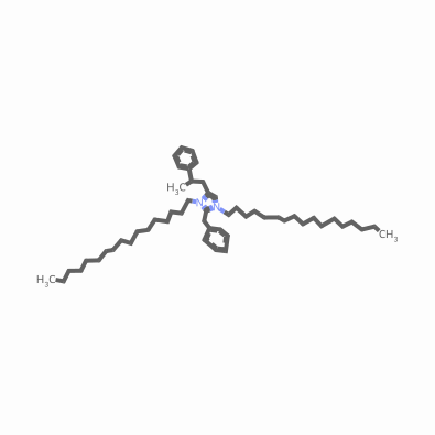 CCCCCCCCCCCCCCCCCn1cc(CC(C)c2ccccc2)[n+](CCCCCCCCCCCCCCCCC)c1Cc1ccccc1